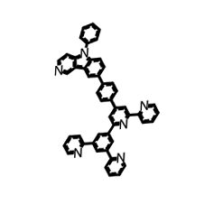 c1ccc(-n2c3ccncc3c3cc(-c4ccc(-c5cc(-c6cc(-c7ccccn7)cc(-c7ccccn7)c6)nc(-c6ccccn6)c5)cc4)ccc32)cc1